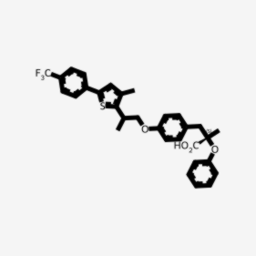 Cc1cc(-c2ccc(C(F)(F)F)cc2)sc1C(C)COc1ccc(C[C@](C)(Oc2ccccc2)C(=O)O)cc1